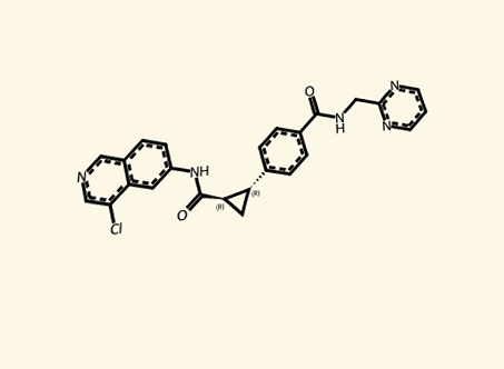 O=C(NCc1ncccn1)c1ccc([C@@H]2C[C@H]2C(=O)Nc2ccc3cncc(Cl)c3c2)cc1